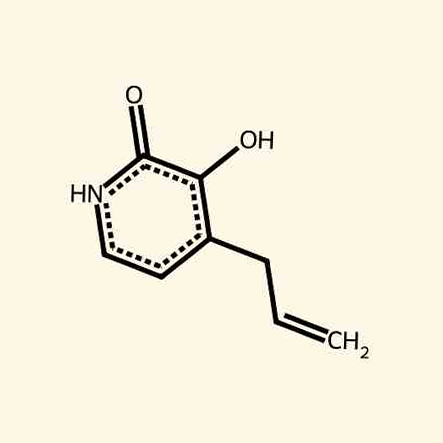 C=CCc1cc[nH]c(=O)c1O